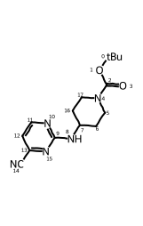 CC(C)(C)OC(=O)N1CCC(Nc2nccc(C#N)n2)CC1